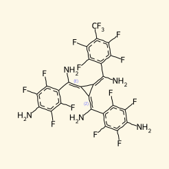 NC(=C1C(=C(/N)c2c(F)c(F)c(N)c(F)c2F)/C1=C(/N)c1c(F)c(F)c(N)c(F)c1F)c1c(F)c(F)c(C(F)(F)F)c(F)c1F